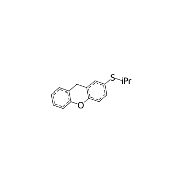 CC(C)Sc1ccc2c(c1)Cc1ccccc1O2